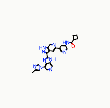 Cc1cn(-c2cncc3[nH]c(-c4n[nH]c5cnc(-c6cncc(NC(=O)C7CCC7)c6)cc45)nc23)cn1